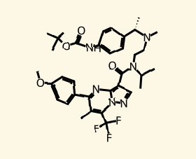 COc1ccc(-c2nc3c(C(=O)N(CCN(C)[C@@H](C)c4ccc(NC(=O)OC(C)(C)C)cc4)C(C)C)cnn3c(C(F)(F)F)c2C)cc1